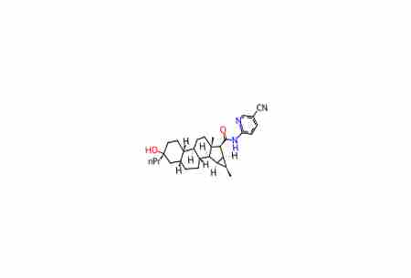 CCC[C@@]1(O)CC[C@H]2[C@H](CC[C@@H]3[C@@H]2CC[C@@]2(C)[C@H]3[C@@H]3[C@H](C)[C@@H]3[C@@H]2C(=O)Nc2ccc(C#N)cn2)C1